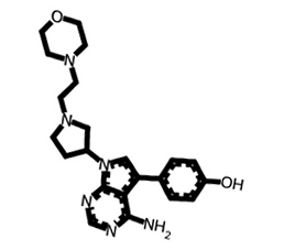 Nc1ncnc2c1c(-c1ccc(O)cc1)cn2C1CCN(CCN2CCOCC2)C1